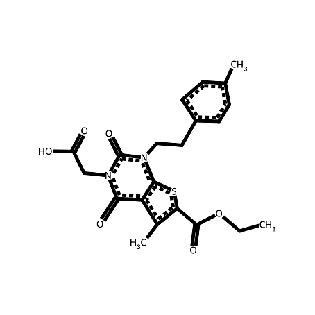 CCOC(=O)c1sc2c(c1C)c(=O)n(CC(=O)O)c(=O)n2CCc1ccc(C)cc1